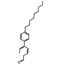 C/C=C(\C=C/CC=O)c1ccc(CCCCCCCCC)cc1